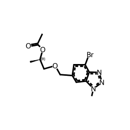 CC(=O)O[C@H](C)COCc1cc(Br)c2nnn(C)c2c1